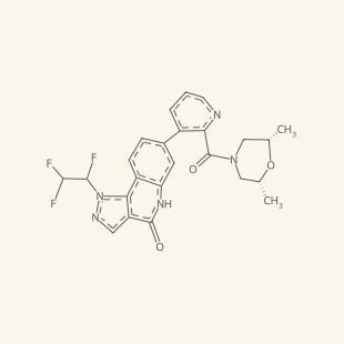 C[C@@H]1CN(C(=O)c2ncccc2-c2ccc3c(c2)[nH]c(=O)c2cnn(C(F)C(F)F)c23)C[C@H](C)O1